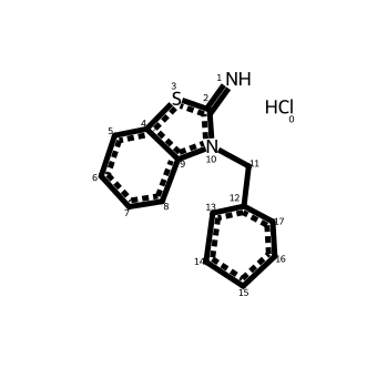 Cl.N=c1sc2ccccc2n1Cc1ccccc1